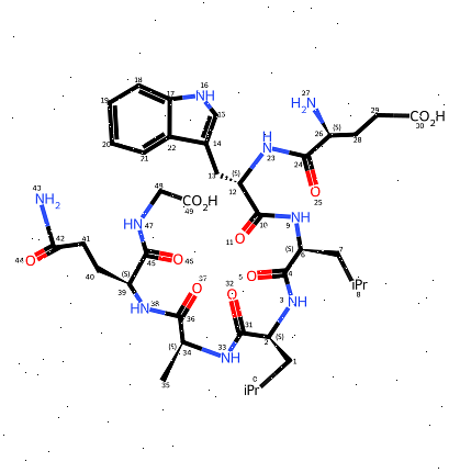 CC(C)C[C@H](NC(=O)[C@H](CC(C)C)NC(=O)[C@H](Cc1c[nH]c2ccccc12)NC(=O)[C@@H](N)CCC(=O)O)C(=O)N[C@@H](C)C(=O)N[C@@H](CCC(N)=O)C(=O)NCC(=O)O